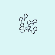 C1=CC2Oc3cc(-c4cccc5c4sc4ccccc45)ccc3C2C(c2nc(-c3cccc4ccccc34)nc(-c3cccc4c3oc3ccccc34)n2)=C1